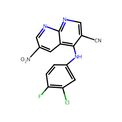 N#Cc1cnc2ncc([N+](=O)[O-])cc2c1Nc1ccc(F)c(Cl)c1